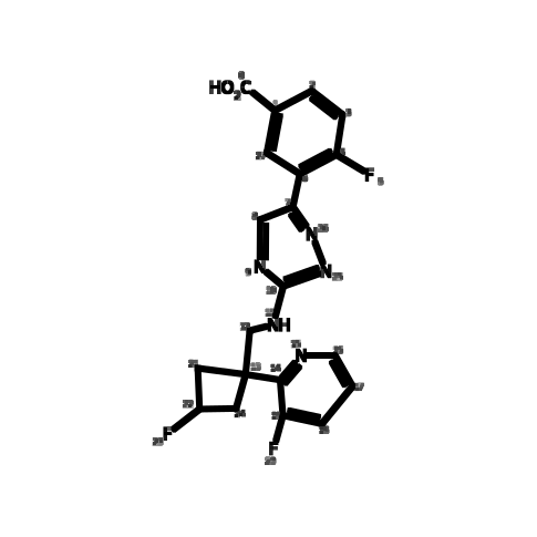 O=C(O)c1ccc(F)c(-c2cnc(NCC3(c4ncccc4F)CC(F)C3)nn2)c1